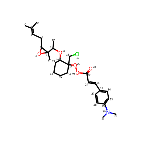 CC(C)=CCC1OC1(C)C(C)OC1CCCCC1(CCl)OOC(=O)/C=C/c1ccc(N(C)C)cc1